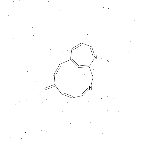 C=C1/C=C\C=N/CC2=C=C(C=CC=N2)/C=C\1